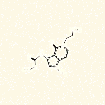 COCCn1ccc2c(c(NC(=O)OC(C)(C)C)cn2C)c1=O